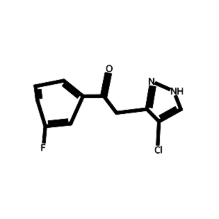 O=C(Cc1n[nH]cc1Cl)c1cccc(F)c1